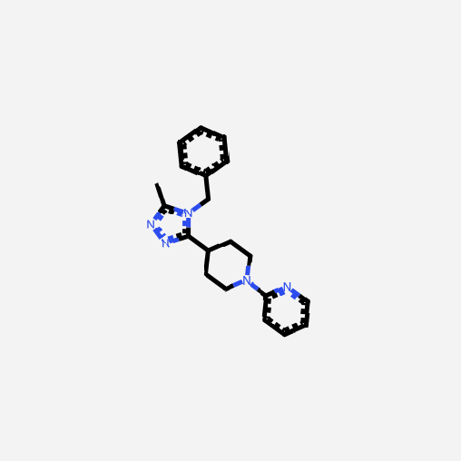 Cc1nnc(C2CCN(c3ccccn3)CC2)n1Cc1ccccc1